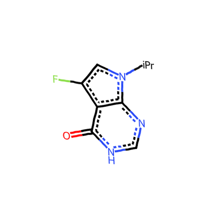 CC(C)n1cc(F)c2c(=O)[nH]cnc21